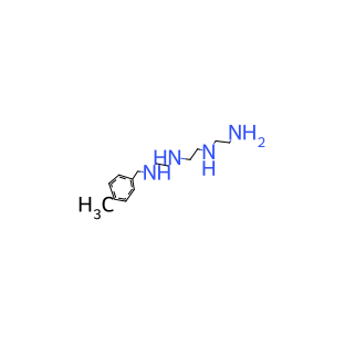 Cc1ccc(CNCCNCCNCCN)cc1